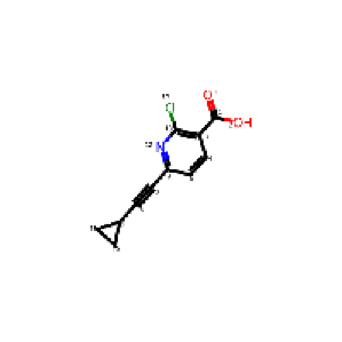 O=C(O)c1ccc(C#CC2CC2)nc1Cl